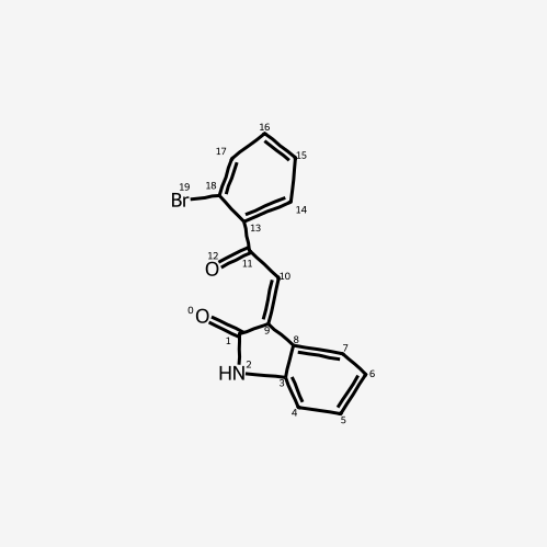 O=C1Nc2ccccc2C1=CC(=O)c1ccccc1Br